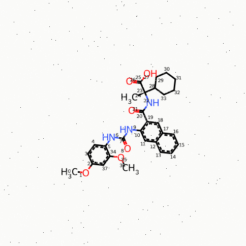 COc1ccc(NC(=O)Nc2cc3ccccc3cc2C(=O)N[C@](C)(C(=O)O)C2CCCCC2)c(OC)c1